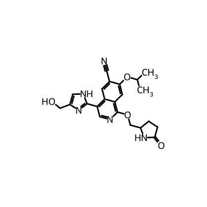 CC(C)Oc1cc2c(OCC3CCC(=O)N3)ncc(-c3nc(CO)c[nH]3)c2cc1C#N